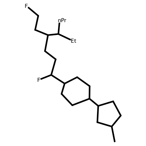 CCCC(CC)C(CCF)CCC(F)C1CCC(C2CCC(C)C2)CC1